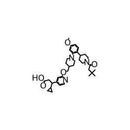 COc1ccc(C2CCN(C(=O)CC(C)(C)C)CC2)c(N2CCC(COc3cc(C(CC(=O)O)C4CC4)ccn3)CC2)c1